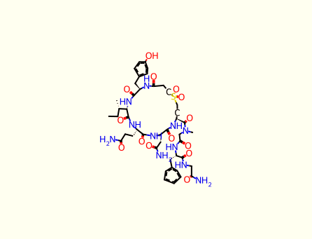 CC[C@H](C)[C@@H]1NC(=O)[C@@H](Cc2ccc(O)cc2)NC(=O)CCS(=O)(=O)CC[C@@H](C(=O)N(C)CC(=O)N[C@@H](Cc2ccccc2)C(=O)NCC(N)=O)NC(=O)[C@H](CC(N)=O)NC(=O)[C@H](CCC(N)=O)NC1=O